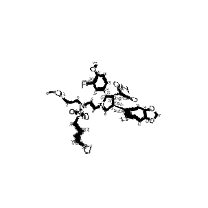 COCCN(CCN1C[C@H](c2ccc3c(c2)OCO3)[C@H](C(=O)O)[C@H]1c1ccc(OC)c(F)c1)S(=O)(=O)CCCCl